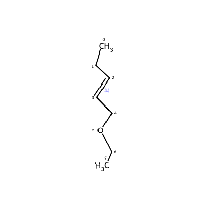 CC/C=C/COCC